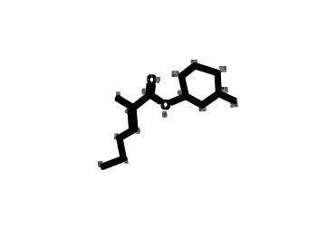 CCCC=C(C)C(=O)OC1CCCC(C)C1